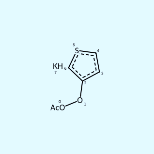 CC(=O)OOc1ccsc1.[KH]